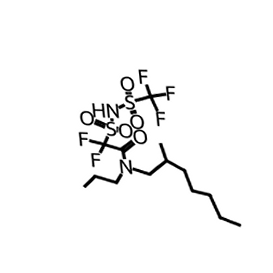 CCCCCC(C)CN(CCC)C(=O)C(F)(F)S(=O)(=O)NS(=O)(=O)C(F)(F)F